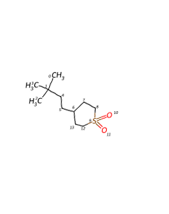 CC(C)(C)CCC1CCS(=O)(=O)CC1